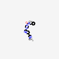 CN(Cc1ccccc1)C(=O)N1CCN(c2cnn3cc(-c4cnn(C)c4)ccc23)CC1